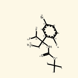 CC(C)(C)OC(=O)NC(CN)(c1cc(Br)ccc1F)C(F)F